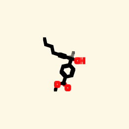 CCCCC#C[C@@](C)(O)c1ccc(C(=O)OC)cc1